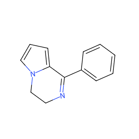 c1ccc(C2=NCCn3cccc32)cc1